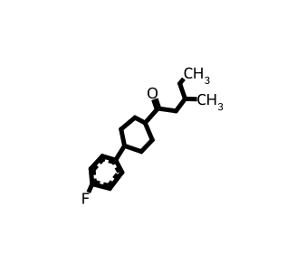 CCC(C)CC(=O)C1CCC(c2ccc(F)cc2)CC1